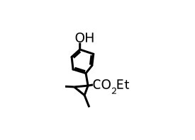 CCOC(=O)C1(c2ccc(O)cc2)C(C)C1C